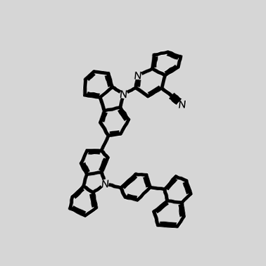 N#Cc1cc(-n2c3ccccc3c3cc(-c4ccc5c6ccccc6n(-c6ccc(-c7cccc8ccccc78)cc6)c5c4)ccc32)nc2ccccc12